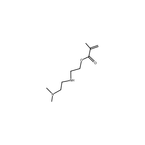 C=C(C)C(=O)OCCNCCN(C)C